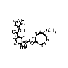 COC1=C/C/N=C\C=C(\OCc2nnc3ccc(C(=O)NC4CCNC4)cn23)C/C=C\1